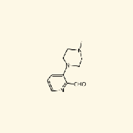 CN1CCN(c2cccnc2C=O)CC1